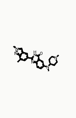 Cc1cc(-c2nc3ccc(N(C)C4CCN(C)CC4)cc3c(=O)[nH]2)cc2cn(C)nc12